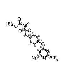 CN(C(=O)OC(C)(C)C)S(=O)(=O)Cc1ccc(Oc2cc(C#N)nc(C(F)(F)F)n2)cc1